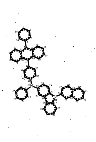 c1ccc(-c2c3ccccc3c(-c3ccc(N(c4ccccc4)c4ccc5c(c4)c4ccccc4n5-c4ccc5ccccc5c4)cc3)c3ccccc23)cc1